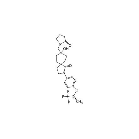 C[C@H](Oc1ccc(N2CCC3(CCC(O)(CN4CCCC4=O)CC3)C2=O)cn1)C(F)(F)F